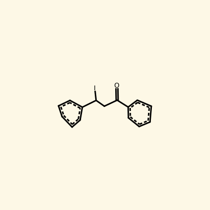 O=C(CC(I)c1ccccc1)c1ccccc1